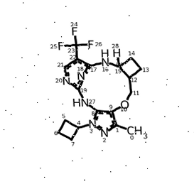 Cc1nn(C2CCC2)c2c1OCC1CC[C@H]1Nc1nc(ncc1C(F)(F)F)N2